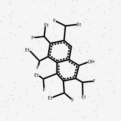 CCC(F)c1cc2c(O)c(C(F)CC)c(C(F)CC)c(C(F)CC)c2c(C(F)CC)c1C(F)CC